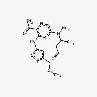 COCc1cc(Nc2nc(N(N)C(C)CC=O)cnc2C(N)=O)sn1